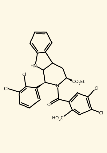 CCOC(=O)[C@@H]1CC2c3ccccc3NC2[C@H](c2cccc(Cl)c2Cl)N1C(=O)c1cc(Cl)c(Cl)cc1C(=O)O